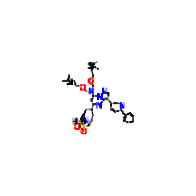 BN1C2CC(c3cc(N(COCC[Si](C)(C)C)COCC[Si](C)(C)C)n4ncc(-c5ccc(-c6ccccc6)nc5)c4n3)CC1CS(=O)(=O)C2